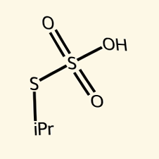 CC(C)SS(=O)(=O)O